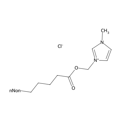 CCCCCCCCCCCCCC(=O)OC[n+]1ccn(C)c1.[Cl-]